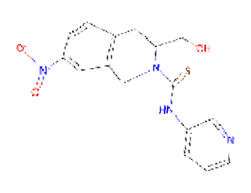 O=[N+]([O-])c1ccc2c(c1)CN(C(=S)Nc1cccnc1)C(CO)C2